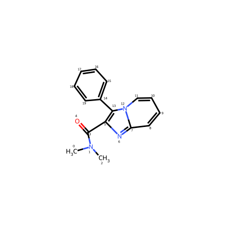 CN(C)C(=O)c1nc2ccccn2c1-c1ccccc1